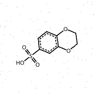 O=S(=O)(O)c1ccc2c(c1)OCCO2